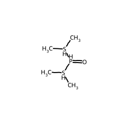 C[SH](C)[PH](=O)[SH](C)C